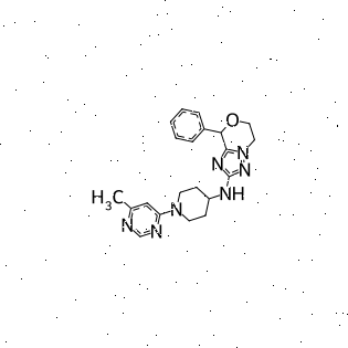 Cc1cc(N2CCC(Nc3nc4n(n3)CCOC4c3ccccc3)CC2)ncn1